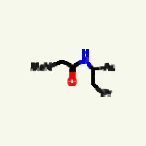 CNCC(=O)NC(CC(C)C)C(C)=O